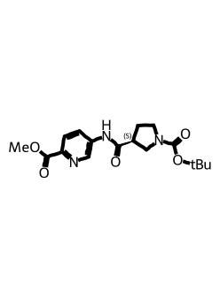 COC(=O)c1ccc(NC(=O)[C@H]2CCN(C(=O)OC(C)(C)C)C2)cn1